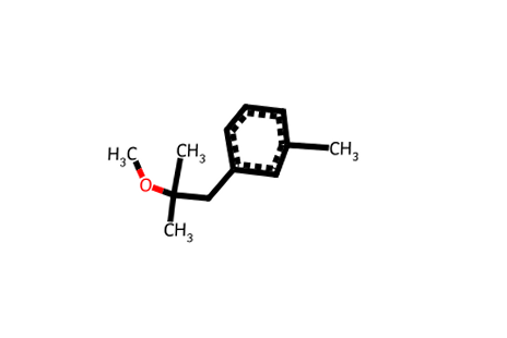 COC(C)(C)Cc1cccc(C)c1